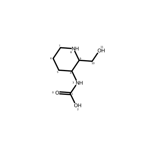 O=C(O)NC1CCCNC1CO